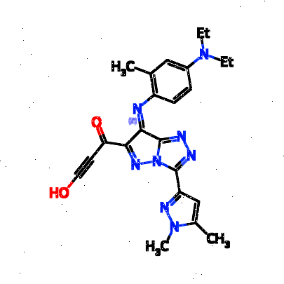 CCN(CC)c1ccc(/N=C2/C(C(=O)C#CO)=Nn3c2nnc3-c2cc(C)n(C)n2)c(C)c1